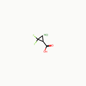 Cl.O=C(O)C1CC1(F)F